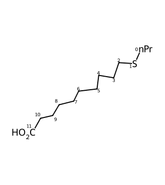 CCCSCCCCCCCCCC(=O)O